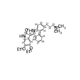 CCOc1cc2c(cc1OCC)/C(=C(/Nc1ccc(CCCN(C)C)cc1)c1ccccc1)C(=O)N2